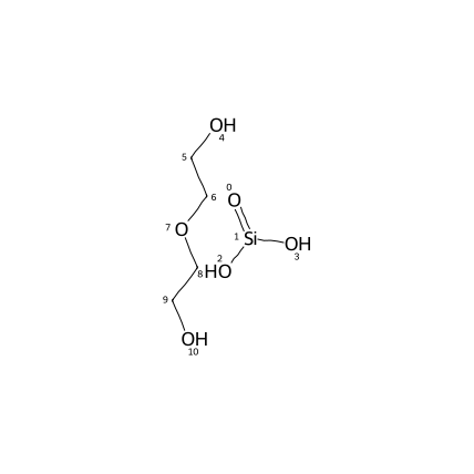 O=[Si](O)O.OCCOCCO